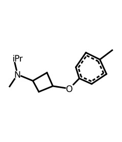 Cc1ccc(OC2CC(N(C)C(C)C)C2)cc1